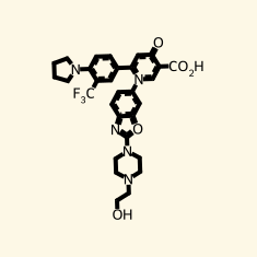 O=C(O)c1cn(-c2ccc3nc(N4CCN(CCO)CC4)oc3c2)c(-c2ccc(N3CCCC3)c(C(F)(F)F)c2)cc1=O